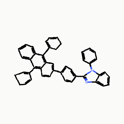 C1=CCCC(c2c3ccccc3c(C3=CCCC=C3)c3ccc(-c4ccc(-c5nc6ccccc6n5-c5ccccc5)cc4)cc23)=C1